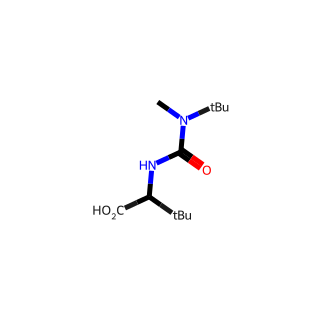 CN(C(=O)NC(C(=O)O)C(C)(C)C)C(C)(C)C